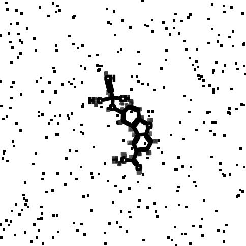 C#CC(C)(C)Oc1ccc2oc3ccc(C(C)=O)cc3c2c1